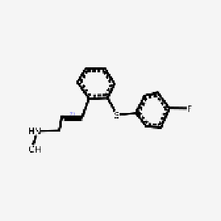 ONC/C=C/c1ccccc1Sc1ccc(F)cc1